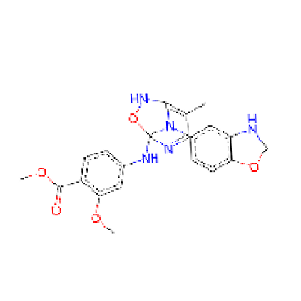 COC(=O)c1ccc(NC23N=CC(C)=C(NO2)N3c2ccc3c(c2)NCO3)cc1OC